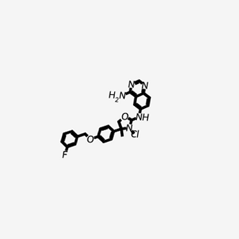 CC1(c2ccc(OCc3cccc(F)c3)cc2)COC(Nc2ccc3ncnc(N)c3c2)N1Cl